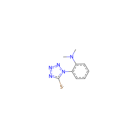 CN(C)c1ccccc1-n1nnnc1[S]